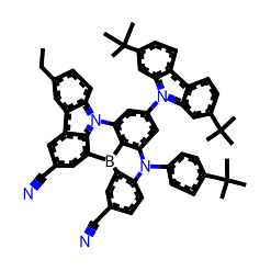 CCc1ccc2c(c1)c1cc(C#N)cc3c1n2-c1cc(-n2c4cc(C(C)(C)C)ccc4c4ccc(C(C)(C)C)cc42)cc2c1B3c1cc(C#N)ccc1N2c1ccc(C(C)(C)C)cc1